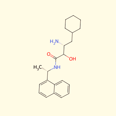 C[C@H](NC(=O)C(O)[C@H](N)CC1CCCCC1)c1cccc2ccccc12